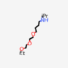 CCOCCOCCOCCCCNC(C)C